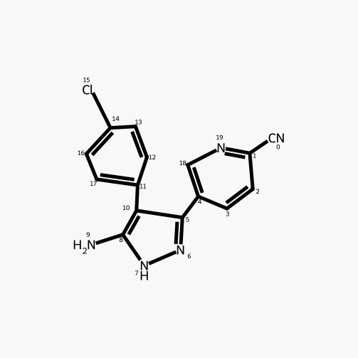 N#Cc1ccc(-c2n[nH]c(N)c2-c2ccc(Cl)cc2)cn1